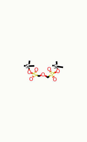 C[Si](C)(C)OS(=O)(=O)COCS(=O)(=O)O[Si](C)(C)C